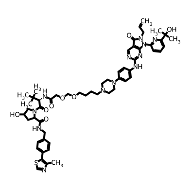 C=CCn1c(=O)c2cnc(Nc3ccc(N4CCN(CCCCOCOCC(=O)N[C@H](C(=O)N5CC(O)CC5C(=O)NCc5ccc(-c6scnc6C)cc5)C(C)(C)C)CC4)cc3)nc2n1-c1cccc(C(C)(C)O)n1